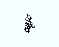 CCOC(=O)/C(F)=C(C)/C=C/C(F)=C(/CC)c1cc2c(cc1OCOC)C(C)(C)CCC2(C)C